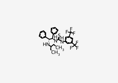 CCC(CC)N[C@H](c1ccccc1)[C@H](NC(=S)Nc1cc(C(F)(F)F)cc(C(F)(F)F)c1)c1ccccc1